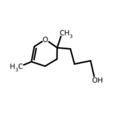 CC1=COC(C)(CCCO)CC1